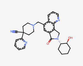 N#CC1(c2ccccn2)CCN(Cc2cc3c(c4ncccc24)CN([C@H]2CCCC[C@@H]2O)C3=O)CC1